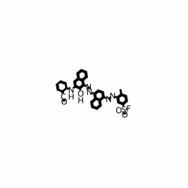 Cc1ccc(S(=O)(=O)F)cc1N=Nc1ccc(N=Nc2c(O)c(NC3C=CC=CC3=C=O)cc3ccccc23)c2ccccc12